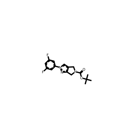 CC(C)(C)OC(=O)N1Cc2cn(-c3cc(F)cc(F)c3)nc2C1